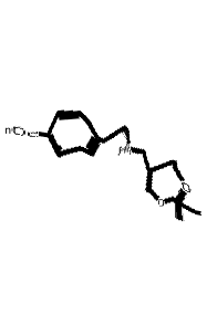 CCCCCCCCc1ccc(CNCC2COC(C)(C)OC2)cc1